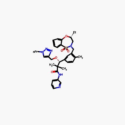 CCCn1cc(CO[C@H](c2ccc(C)c(CN3C[C@@H](CC)Oc4ccccc4S3(=O)=O)c2)C(C)(C)C(=O)Nc2cccnc2)nn1